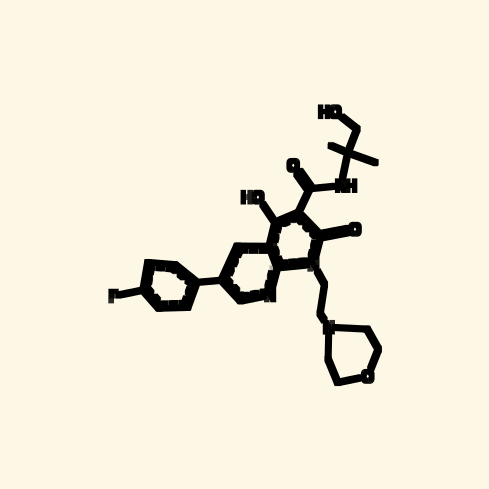 CC(C)(CO)NC(=O)c1c(O)c2cc(-c3ccc(F)cc3)cnc2n(CCN2CCOCC2)c1=O